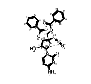 C[C@@H]1[C@H](n2ccc(N)nc2=O)O[C@@](COC(=O)c2ccccc2)(N=[N+]=[N-])[C@H]1OC(=O)c1ccccc1